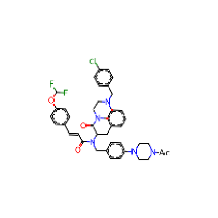 CC(=O)N1CCN(c2ccc(CN(C(=O)C=Cc3ccc(OC(F)F)cc3)C(Cc3ccccc3)C(=O)N3CCN(Cc4ccc(Cl)cc4)CC3)cc2)CC1